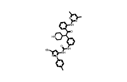 Cc1ccc(-n2nc(C(C)(C)C)cc2NC(=O)Nc2cccc(C(C(=O)c3ccccc3Nc3nc(C)cc(C)n3)C3CCNCC3)c2)cc1